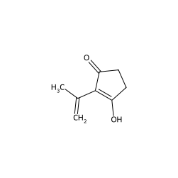 C=C(C)C1=C(O)CCC1=O